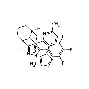 Cc1ccc(-n2cncn2)c(C(=O)N2[C@H]3CCC[C@@H]2c2nn(C)c(-c4cc(F)c(F)c(F)c4)c2C3)n1